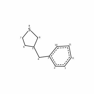 c1ccc(CC2CCSC2)cc1